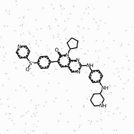 O=c1c(-c2ccc([S+]([O-])c3ccncc3)cc2)cc2cnc(Nc3ccc(NC4CCCNC4)cc3)nc2n1C1CCCC1